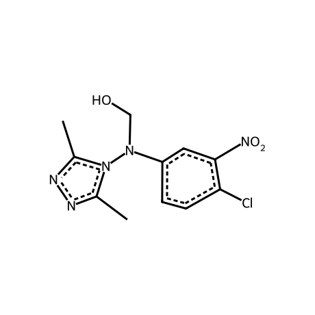 Cc1nnc(C)n1N(CO)c1ccc(Cl)c([N+](=O)[O-])c1